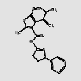 C=C1c2c(oc(C)c2C(=O)NC2=NN(c3ccccc3)CC2)N=CN1C